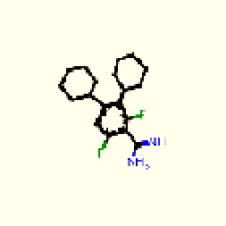 N=C(N)c1c(F)cc(C2CCCCC2)c(C2CCCCC2)c1F